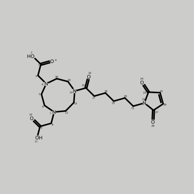 O=C(O)CN1CCN(CC(=O)O)CCN(C(=O)CCCCCN2C(=O)C=CC2=O)CC1